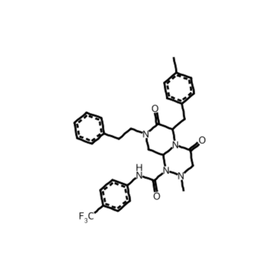 Cc1ccc(CC2C(=O)N(CCc3ccccc3)CC3N2C(=O)CN(C)N3C(=O)Nc2ccc(C(F)(F)F)cc2)cc1